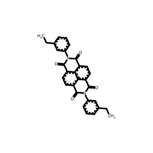 CCc1cccc(N2C(=O)c3ccc4c5c(ccc(c35)C2=O)C(=O)N(c2cccc(CC)c2)C4=O)c1